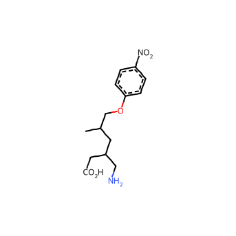 CC(COc1ccc([N+](=O)[O-])cc1)CC(CN)CC(=O)O